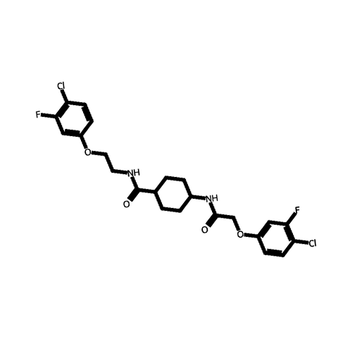 O=C(COc1ccc(Cl)c(F)c1)NC1CCC(C(=O)NCCOc2ccc(Cl)c(F)c2)CC1